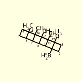 BC12CC3C4CC5C6C7C1C(C)(C32C)C7(C)C6(C)C45C